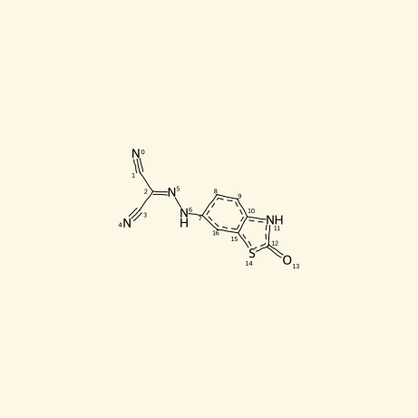 N#CC(C#N)=NNc1ccc2[nH]c(=O)sc2c1